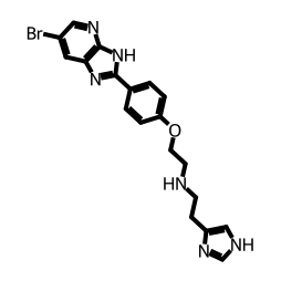 Brc1cnc2[nH]c(-c3ccc(OCCNCCc4c[nH]cn4)cc3)nc2c1